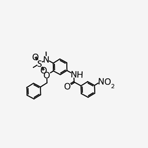 CN(c1ccc(NC(=O)c2cccc([N+](=O)[O-])c2)cc1OCc1ccccc1)S(C)(=O)=O